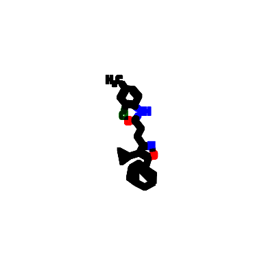 Cc1ccc(NC(=O)CCc2noc(C34CC5CC(CC(C5)C3)C4)c2C2CC2)c(Cl)c1